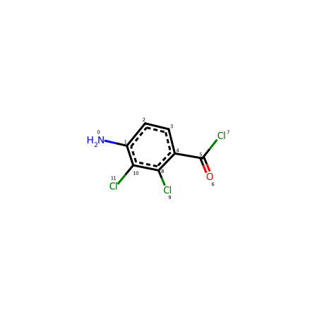 Nc1ccc(C(=O)Cl)c(Cl)c1Cl